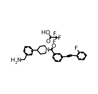 NCc1cccc(C2CCN(C(=O)c3cccc(C#Cc4ccccc4F)c3)CC2)c1.O=C(O)C(F)(F)F